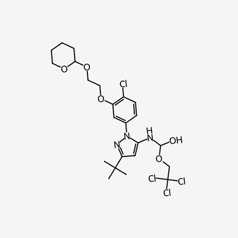 CC(C)(C)c1cc(NC(O)OCC(Cl)(Cl)Cl)n(-c2ccc(Cl)c(OCCOC3CCCCO3)c2)n1